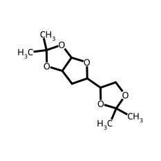 CC1(C)OCC(C2CC3OC(C)(C)OC3O2)O1